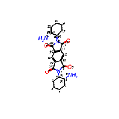 N[C@@H]1CCCC[C@H]1n1c(=O)c2cc3c(=O)n([C@@H]4CCCC[C@H]4N)c(=O)c3cc2c1=O